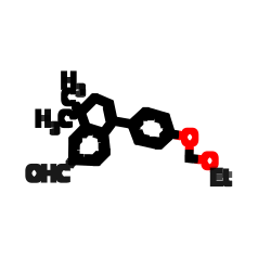 CCOCOc1ccc(C2=CCC(C)(C)c3cc(C=O)ccc32)cc1